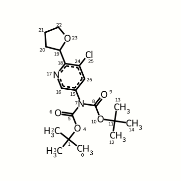 CC(C)(C)OC(=O)N(C(=O)OC(C)(C)C)c1cnc(C2CCCO2)c(Cl)c1